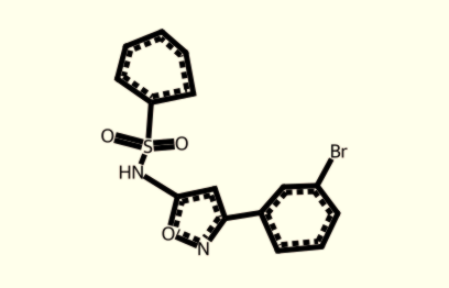 O=S(=O)(Nc1cc(-c2cccc(Br)c2)no1)c1ccccc1